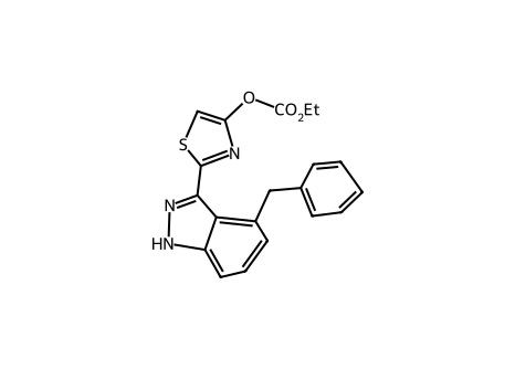 CCOC(=O)Oc1csc(-c2n[nH]c3cccc(Cc4ccccc4)c23)n1